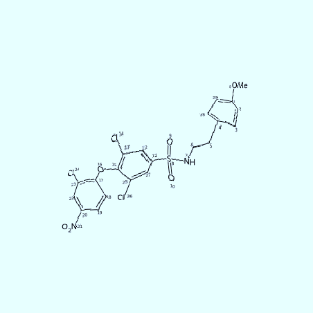 COc1ccc(CCNS(=O)(=O)c2cc(Cl)c(Oc3ccc([N+](=O)[O-])cc3Cl)c(Cl)c2)cc1